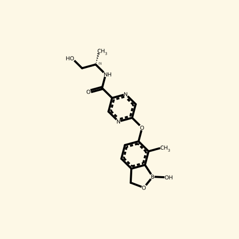 Cc1c(Oc2cnc(C(=O)N[C@@H](C)CO)cn2)ccc2c1B(O)OC2